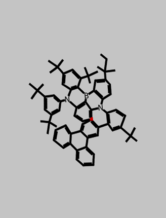 CCC(C)(C)c1ccc2c(c1)B1c3c(cccc3N2c2ccc(C(C)(C)C)cc2-c2ccc3c4ccccc4c4ccccc4c3c2)N(c2cc(C(C)(C)C)cc(C(C)(C)C)c2)c2cc(C(C)(C)C)cc(C(C)(C)C)c21